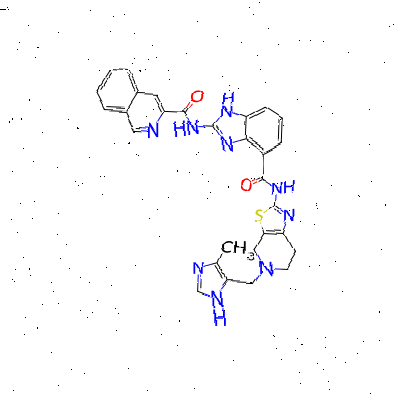 Cc1nc[nH]c1CN1CCc2nc(NC(=O)c3cccc4[nH]c(NC(=O)c5cc6ccccc6cn5)nc34)sc2C1